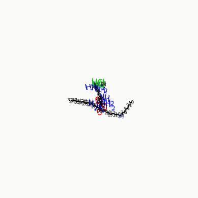 CCCCCCCC/C=C\CCCCCCCCN(C(=O)CCCCCCCCCCCCCCC)C(=O)C(N)C(N)C(=O)[C@H](N)CCCNC(=N)N.Cl.Cl.Cl